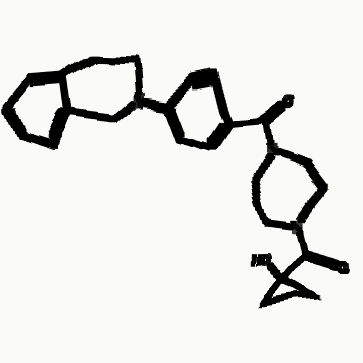 O=C(c1ccc(N2CCc3ccccc3C2)cc1)N1CCN(C(=O)C2(O)CC2)CC1